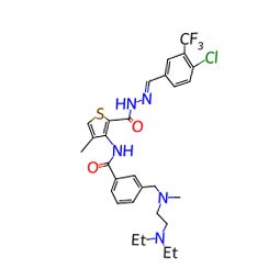 CCN(CC)CCN(C)Cc1cccc(C(=O)Nc2c(C)csc2C(=O)NN=Cc2ccc(Cl)c(C(F)(F)F)c2)c1